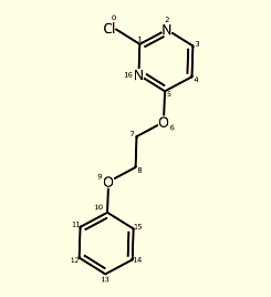 Clc1nccc(OCCOc2ccccc2)n1